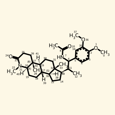 COc1ccc(C(NC(C)=O)C(C)[C@H]2CC[C@H]3[C@@H]4CC[C@H]5N(C)C(=O)CC[C@]5(C)[C@H]4CC[C@]23C)cc1OC